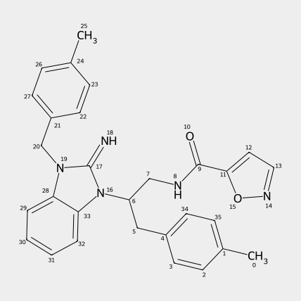 Cc1ccc(CC(CNC(=O)c2ccno2)n2c(=N)n(Cc3ccc(C)cc3)c3ccccc32)cc1